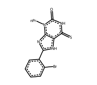 CCCn1c(=O)[nH]c(=S)c2[nH]c(-c3ccccc3Br)nc21